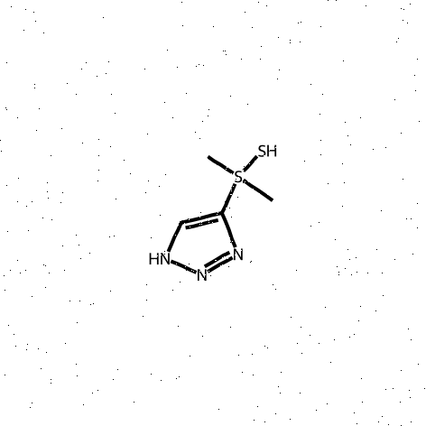 CS(C)(S)c1c[nH]nn1